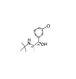 C[C@H](NC(C)(C)C)[C@H](O)c1cccc(Cl)c1